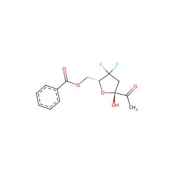 CC(=O)[C@@]1(O)CC(F)(F)[C@@H](COC(=O)c2ccccc2)O1